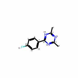 Cc1nc(C)nc(-c2ccc(F)cc2)n1